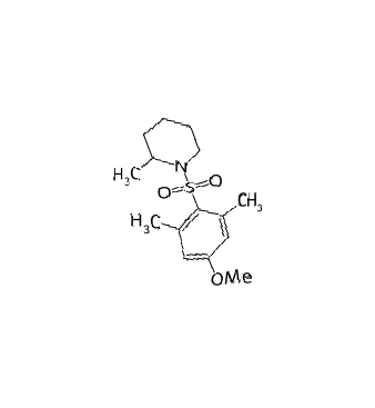 COc1cc(C)c(S(=O)(=O)N2CCCCC2C)c(C)c1